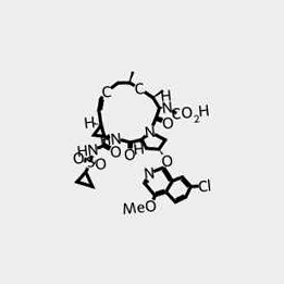 COc1cnc(O[C@@H]2C[C@H]3C(=O)N[C@]4(C(=O)NS(=O)(=O)C5CC5)C[C@H]4/C=C\CC[C@@H](C)C[C@@H](C)[C@H](NC(=O)O)C(=O)N3C2)c2cc(Cl)ccc12